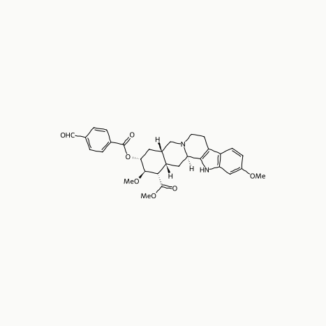 COC(=O)[C@H]1[C@H]2C[C@@H]3c4[nH]c5cc(OC)ccc5c4CCN3C[C@H]2C[C@@H](OC(=O)c2ccc(C=O)cc2)[C@@H]1OC